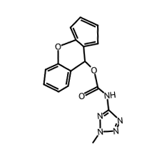 Cn1nnc(NC(=O)OC2c3ccccc3Oc3ccccc32)n1